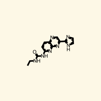 CCNC(=O)Nc1ccc2ncc(-c3ncc[nH]3)nc2n1